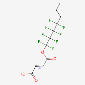 CCCC(F)(F)C(F)(F)C(F)(F)C(F)(F)OC(=O)/C=C/C(=O)O